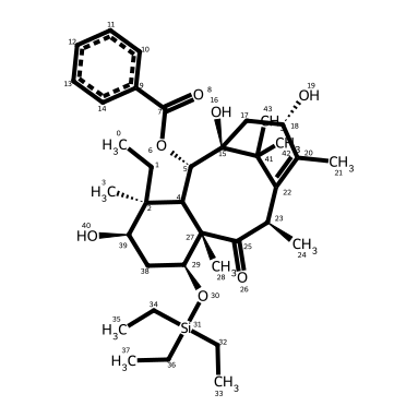 CC[C@@]1(C)C2[C@H](OC(=O)c3ccccc3)[C@]3(O)C[C@H](O)C(C)=C([C@@H](C)C(=O)[C@]2(C)[C@@H](O[Si](CC)(CC)CC)C[C@H]1O)C3(C)C